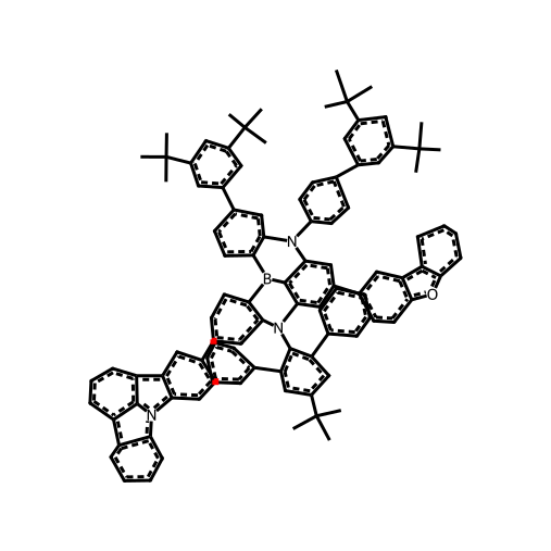 CC(C)(C)c1cc(-c2ccc(N3c4cc(-c5cc(C(C)(C)C)cc(C(C)(C)C)c5)ccc4B4c5ccc(-c6ccc7c(c6)c6cccc8c9ccccc9n7c86)cc5N(c5c(-c6ccccc6)cc(C(C)(C)C)cc5-c5ccccc5)c5cc(-c6ccc7oc8ccccc8c7c6)cc3c54)cc2)cc(C(C)(C)C)c1